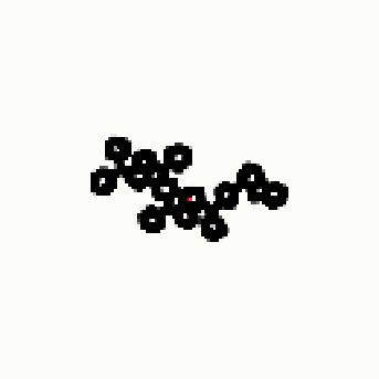 c1ccc(N(c2ccccc2)c2ccc(-c3cc(N(c4ccccc4)c4ccccc4)c(-c4ccc(N(c5ccccc5)c5ccc(-c6cccc7c6oc6ccccc67)cc5)cc4)cc3N(c3ccccc3)c3ccccc3)cc2)cc1